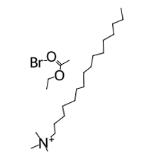 CCCCCCCCCCCCCCCC[N+](C)(C)C.CCOC(C)=O.[Br-]